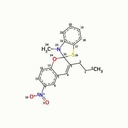 CCCC1=Cc2cc([N+](=O)[O-])ccc2OC12Sc1ccccc1N2C